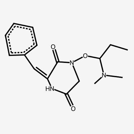 CCC(ON1CC(=O)NC(=Cc2ccccc2)C1=O)N(C)C